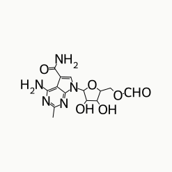 Cc1nc(N)c2c(C(N)=O)cn(C3OC(COC=O)C(O)C3O)c2n1